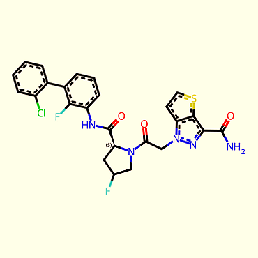 NC(=O)c1nn(CC(=O)N2CC(F)C[C@H]2C(=O)Nc2cccc(-c3ccccc3Cl)c2F)c2ccsc12